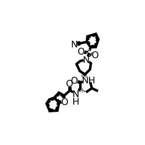 CC(C)C[C@H](NC(=O)c1cc2ccccc2o1)C(=O)N[C@@H]1CCCN(S(=O)(=O)c2ccccc2C#N)CC1